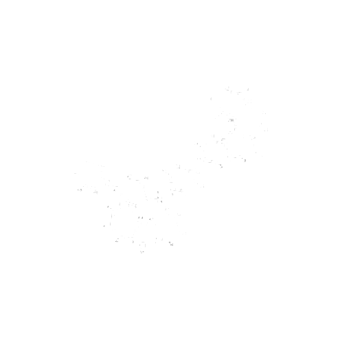 c1ccc(-c2ccc(N(c3ccc(-c4ccc5c(ccc6ccc7ccccc7c65)c4)cc3)c3cccc4oc5ccccc5c34)cc2)cc1